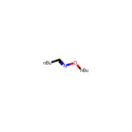 CCCCC=NOCCCC